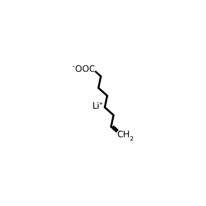 C=CCCCCCC(=O)[O-].[Li+]